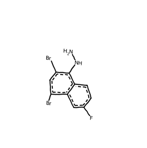 NNc1c(Br)cc(Br)c2cc(F)ccc12